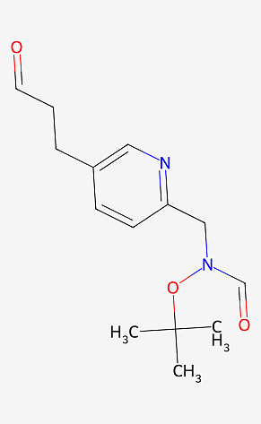 CC(C)(C)ON(C=O)Cc1ccc(CCC=O)cn1